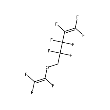 FC(F)=C(F)OCC(F)(F)C(F)(F)C(F)=C(F)F